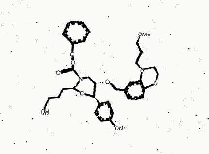 COCCCN1CCOc2ccc(CO[C@H]3CN(C(=O)OCc4ccccc4)[C@H](CCCO)C[C@@H]3c3ccc(OC)cc3)cc21